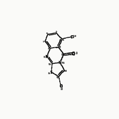 O=c1c2c(Cl)cccc2nc2sc(Cl)cn12